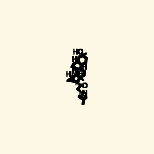 Cc1cnn(CC(=O)[C@H]2C3=C[C@H]3[C@H]3[C@@H]4CC[C@@H]5C[C@](C)(O)CC[C@@H]5[C@H]4CC[C@]23C)c1